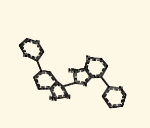 c1ccc(-c2ccnc3[nH]c(-c4n[nH]c5ccc(-c6cnccn6)cc45)nc23)nc1